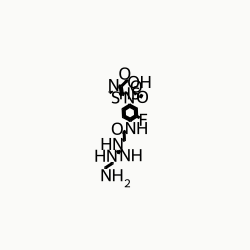 N=C(NCCN)NCC(=O)Nc1ccc(N(c2scnc2C(=O)O)[SH](=O)=O)cc1F